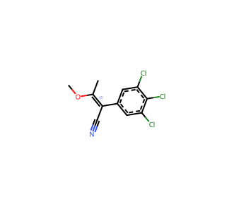 CO/C(C)=C(\C#N)c1cc(Cl)c(Cl)c(Cl)c1